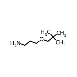 CC(C)(C)COCCCN